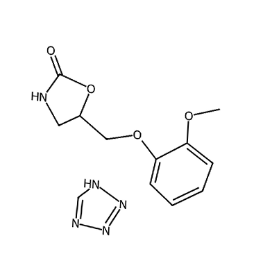 COc1ccccc1OCC1CNC(=O)O1.c1nnn[nH]1